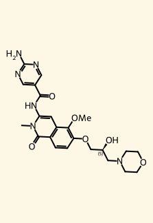 COc1c(OC[C@@H](O)CN2CCOCC2)ccc2c(=O)n(C)c(NC(=O)c3cnc(N)nc3)cc12